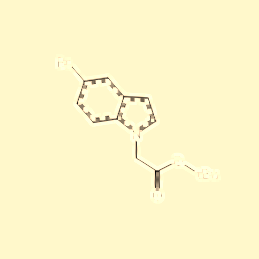 CC(C)(C)OC(=O)Cn1ccc2cc(Br)ccc21